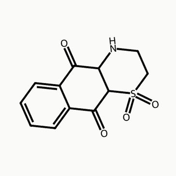 O=C1c2ccccc2C(=O)C2C1NCCS2(=O)=O